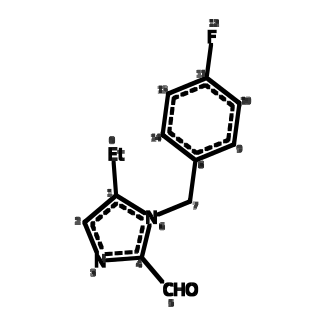 CCc1cnc(C=O)n1Cc1ccc(F)cc1